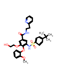 COc1ccccc1Oc1c(NS(=O)(=O)c2ccc(C(C)(C)C)cc2)cc(C(=O)NCCc2ccccn2)cc1OCCO